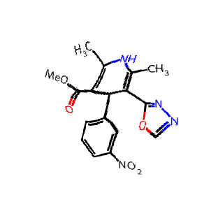 COC(=O)C1=C(C)NC(C)=C(c2nnco2)C1c1cccc([N+](=O)[O-])c1